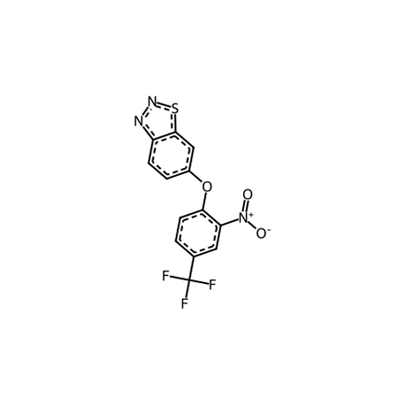 O=[N+]([O-])c1cc(C(F)(F)F)ccc1Oc1ccc2nnsc2c1